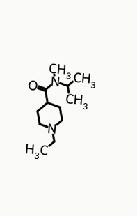 CCN1CCC(C(=O)N(C)C(C)C)CC1